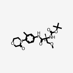 COC[C@@](C)(NC(=O)OC(C)(C)C)C(=O)Nc1ccc(N2CCOCC2=O)c(C)c1